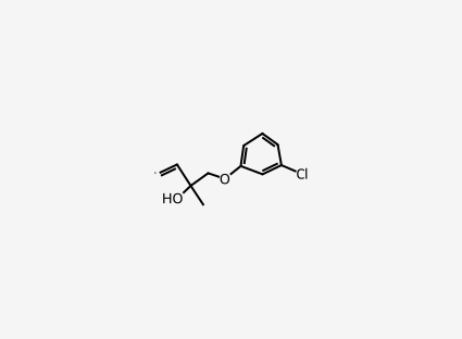 [CH]=CC(C)(O)COc1cccc(Cl)c1